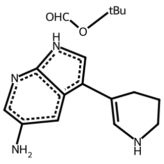 CC(C)(C)OC=O.Nc1cnc2[nH]cc(C3=CNCCC3)c2c1